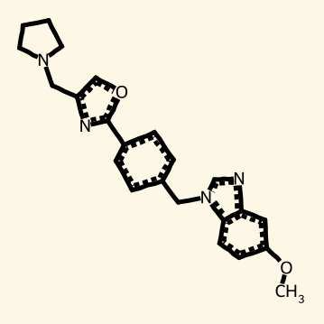 COc1ccc2c(c1)ncn2Cc1ccc(-c2nc(CN3CCCC3)co2)cc1